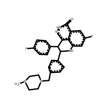 CN1CCN(Cc2ccc(C3Nc4cc(F)cc5c(=O)[nH]nc(c45)C3c3ccc(F)cc3)cc2)CC1